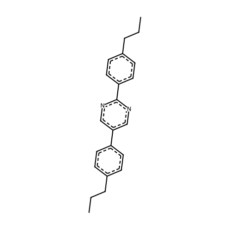 CCCc1ccc(-c2cnc(-c3ccc(CCC)cc3)nc2)cc1